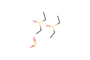 CC[S+]([O-])CC.CC[S+]([O-])CC.O=S=O